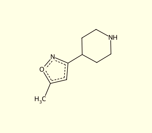 Cc1cc(C2CCNCC2)no1